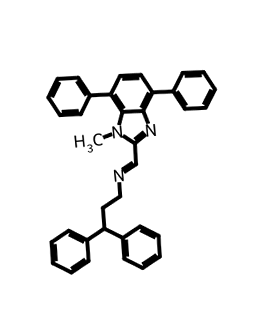 Cn1c(/C=N/CCC(c2ccccc2)c2ccccc2)nc2c(-c3ccccc3)ccc(-c3ccccc3)c21